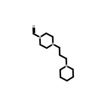 O=CN1CCN(CCCN2CCCCC2)CC1